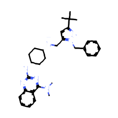 CN(C)c1nc(N[C@H]2CC[C@@H](NCc3cc(C(C)(C)C)nn3Cc3ccccc3)CC2)nc2ccccc12